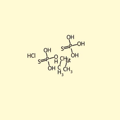 CC.CCC.Cl.OP(O)(O)=S.OP(O)(O)=S